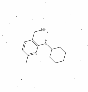 Cc1ccc(CN)c(NC2CCCCC2)n1